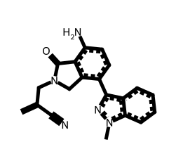 C=C(C#N)CN1Cc2c(-c3nn(C)c4ccccc34)ccc(N)c2C1=O